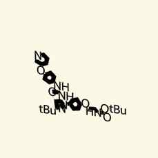 CC(C)(C)OC(=O)NCCOc1ccc(-n2nc(C(C)(C)C)cc2NC(=O)Nc2ccc(Oc3cccnc3)cc2)cc1